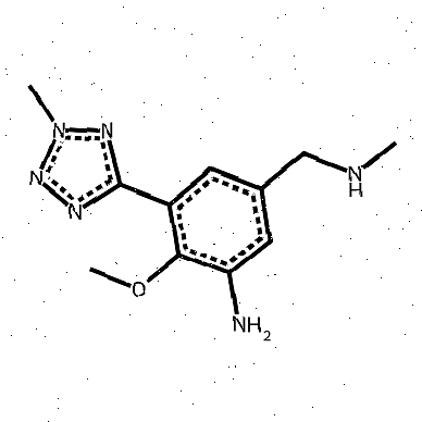 CNCc1cc(N)c(OC)c(-c2nnn(C)n2)c1